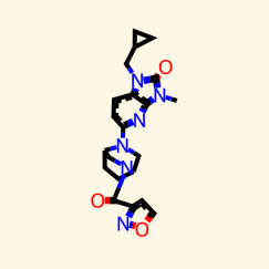 Cn1c(=O)n(CC2CC2)c2ccc(N3CC4CCC3CN4C(=O)c3ccon3)nc21